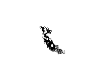 CC(C)=CCC[C@@H](COS(C)(=O)=O)[C@H]1CC[C@H]2C3=CC=C4C(C)(C)[C@@H](O[Si](C)(C)C(C)(C)C)CC[C@]4(C)[C@H]3CC[C@]12C